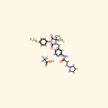 CC1(C)C(=O)N(c2ccc(SC(F)(F)F)cc2)C(=O)N1Cc1ccnc(NC(=O)CCN2CCCC2)c1.O=C(O)C(F)(F)F